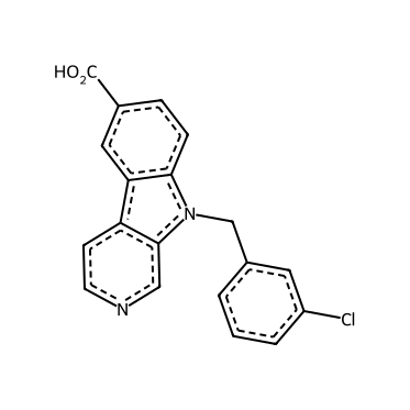 O=C(O)c1ccc2c(c1)c1ccncc1n2Cc1cccc(Cl)c1